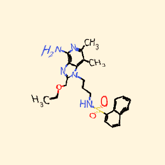 CCOCc1nc2c(N)nc(C)c(C)c2n1CCCNS(=O)(=O)c1cccc2ccccc12